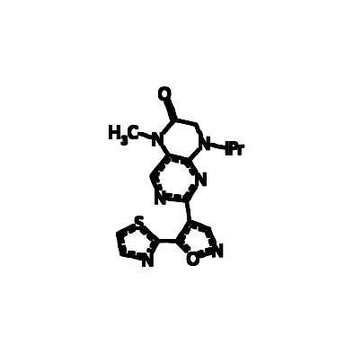 CC(C)N1CC(=O)N(C)c2cnc(-c3cnoc3-c3nccs3)nc21